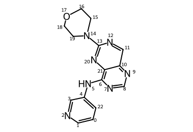 c1cncc(Nc2ncnc3cnc(N4CCOCC4)nc23)c1